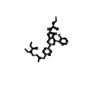 CCOC(=O)Nc1nc2cc(-c3ccc(CN(C)CCN(CC)C(=O)CC)nc3)cc(-c3ncccc3F)c2[nH]1